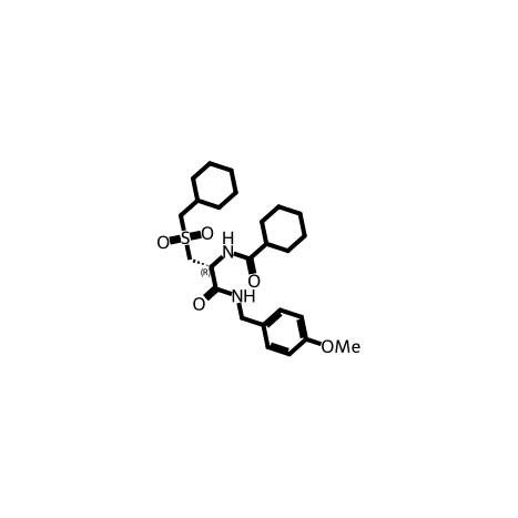 COc1ccc(CNC(=O)[C@H](CS(=O)(=O)CC2CCCCC2)NC(=O)C2CCCCC2)cc1